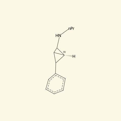 CCCNC1C2C(c3ccccc3)[C@H]12